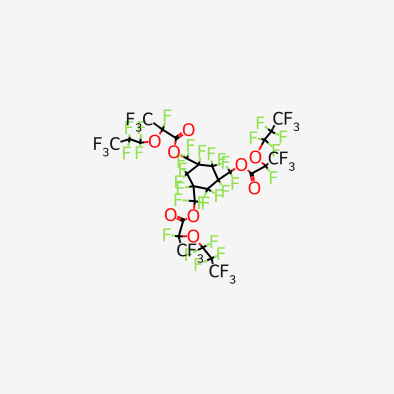 O=C(OC(F)(F)C1(F)C(F)(F)C(F)(C(F)(F)OC(=O)C(F)(OC(F)(F)C(F)(F)C(F)(F)F)C(F)(F)F)C(F)(F)C(F)(C(F)(F)OC(=O)C(F)(OC(F)(F)C(F)(F)C(F)(F)F)C(F)(F)F)C1(F)F)C(F)(OC(F)(F)C(F)(F)C(F)(F)F)C(F)(F)F